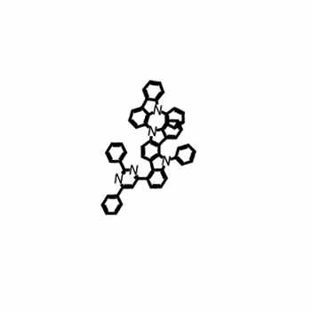 c1ccc(-c2cc(-c3cccc4c3c3ccc5c(c6ccccc6n5-c5cccc6c7ccccc7n(-c7ccccc7)c56)c3n4-c3ccccc3)nc(-c3ccccc3)n2)cc1